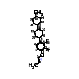 C/C=C/Oc1ccc(C2CCC(C3CCC(C)CC3)CC2)c(F)c1F